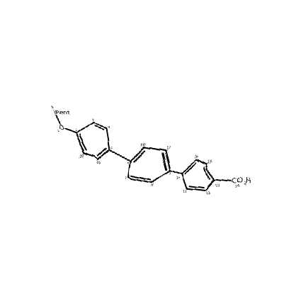 CCCC(C)Oc1ccc(-c2ccc(-c3ccc(C(=O)O)cc3)cc2)cc1